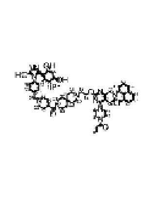 C=CC(=O)N1CCN(c2nc(OCCN3CCC4(CC3)CCN(C(=O)C3CCN(Cc5ccc(-n6c(O)nnc6-c6cc(C(C)C)c(O)cc6O)cc5)CC3)CC4)nc3c2CCN(c2cccc4cccc(Cl)c24)C3)CC1